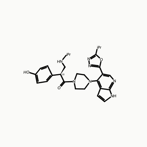 CC(C)NC[C@@H](C(=O)N1CCN(c2c(-c3nnc(C(C)C)o3)cnc3[nH]ccc23)CC1)c1ccc(O)cc1